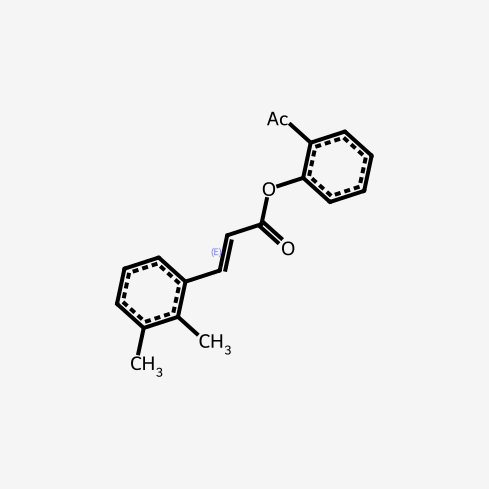 CC(=O)c1ccccc1OC(=O)/C=C/c1cccc(C)c1C